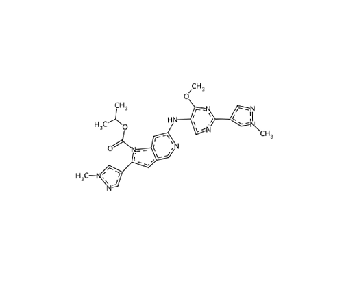 COc1nc(-c2cnn(C)c2)ncc1Nc1cc2c(cn1)cc(-c1cnn(C)c1)n2C(=O)OC(C)C